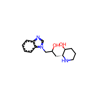 OC(C[C@H]1NCCC[C@@H]1O)Cn1cnc2ccccc21